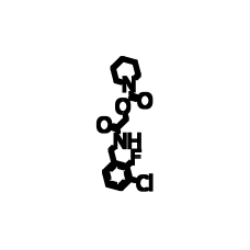 O=C(COC(=O)N1CCCCC1)NCc1cccc(Cl)c1F